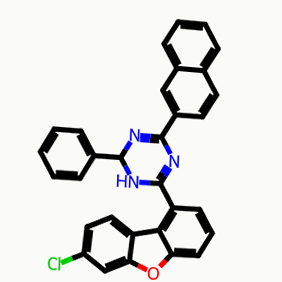 Clc1ccc2c(c1)oc1cccc(C3=NC(c4ccc5ccccc5c4)=NC(c4ccccc4)N3)c12